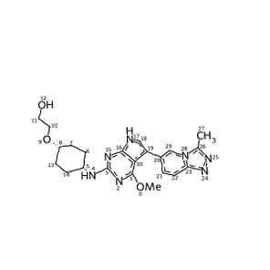 COc1nc(N[C@H]2CC[C@@H](OCCO)CC2)nc2[nH]cc(-c3ccc4nnc(C)n4c3)c12